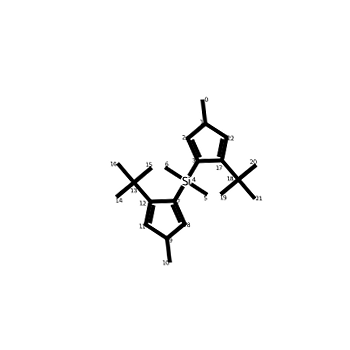 CC1[C]=C([Si](C)(C)C2=[C]C(C)C=C2C(C)(C)C)C(C(C)(C)C)=C1